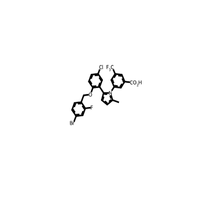 Cc1ccc(-c2cc(Cl)ccc2OCc2ccc(Br)cc2F)n1-c1cc(C(=O)O)cc(C(F)(F)F)c1